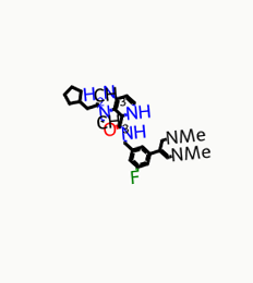 CN/C=C(\CNC)c1cc(F)cc(CNC(=O)C2NC=CC(N)=C2N(C)C(C)CC2CCCC2)c1